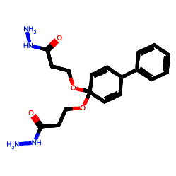 NNC(=O)CCOC1(OCCC(=O)NN)C=CC(c2ccccc2)C=C1